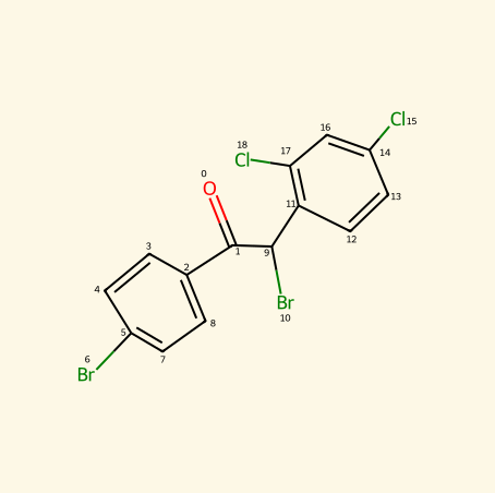 O=C(c1ccc(Br)cc1)C(Br)c1ccc(Cl)cc1Cl